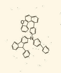 c1ccc(-c2ccc(N(c3ccc(-c4cccc5ccc6oc7ccccc7c6c45)cc3)c3ccc4c(c3)C(c3ccccc3)c3ccccc3-4)cc2)cc1